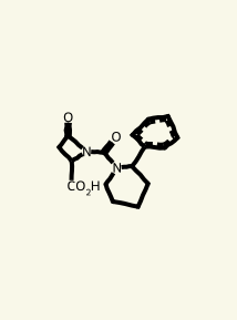 O=C(O)C1CC(=O)N1C(=O)N1CCCCC1c1ccccc1